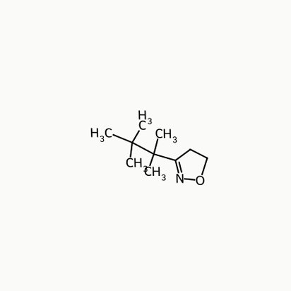 CC(C)(C)C(C)(C)C1=NOCC1